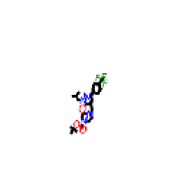 CC(C)Cn1nc(-c2ccc(C(F)(F)F)cc2)cc(CN2CCN(C(=O)OC(C)(C)C)CC2)c1=O